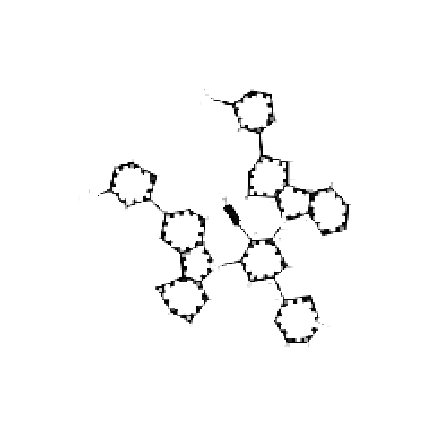 Cc1cccc(-c2ccc3c(c2)c2ccccc2n3-c2cc(-c3cccnc3)cc(-n3c4ccccc4c4cc(-c5cccc(C)c5)ccc43)c2C#N)c1